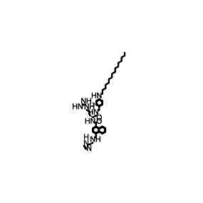 CCCCCCCCCCCCCCCCNc1ccc(CNC(=O)[C@H](CCCNC(=N)N)NC(=O)c2ccc(CNCc3ncc[nH]3)c3ccccc23)cc1